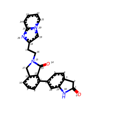 O=C1Cc2ccc(-c3cccc4c3C(=O)N(CCc3cn5ccccc5n3)C4)cc2N1